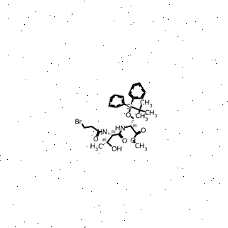 COC(=O)[C@@H](CO[Si](c1ccccc1)(c1ccccc1)C(C)(C)C)NC(=O)[C@@H](NC(=O)CCBr)[C@@H](C)O